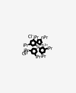 CCCC1=C[C]([Ti+3])([Si](c2cc(C(C)C)cc(C(C)C)c2)(c2cc(C(C)C)cc(C(C)C)c2)c2cc(C(C)C)cc(C(C)C)c2)C=C1.[Cl-].[Cl-].[Cl-]